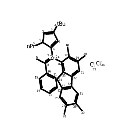 CCCC1C=C(C(C)(C)C)C=[C]1/[Zr+2](=[C](\C)c1ccccc1)[c]1c(C)c(C)cc2c1Cc1cc(C)c(C)cc1-2.[Cl-].[Cl-]